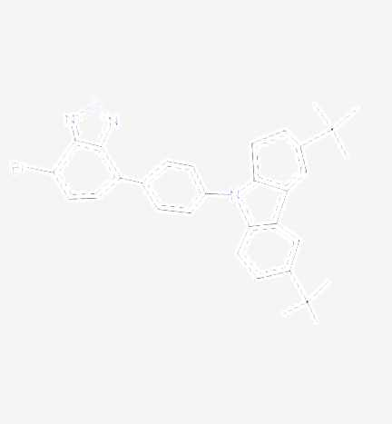 CC(C)(C)c1ccc2c(c1)c1cc(C(C)(C)C)ccc1n2-c1ccc(-c2ccc(Br)c3nsnc23)cc1